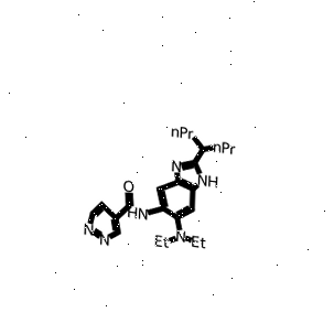 CCCC(CCC)c1nc2cc(NC(=O)c3ccnnc3)c(N(CC)CC)cc2[nH]1